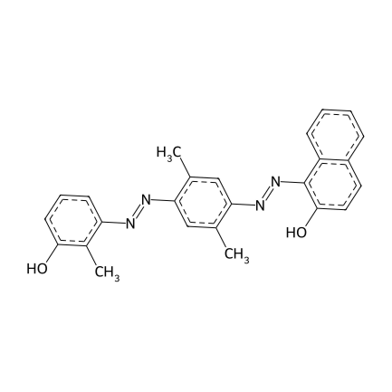 Cc1cc(N=Nc2c(O)ccc3ccccc23)c(C)cc1N=Nc1cccc(O)c1C